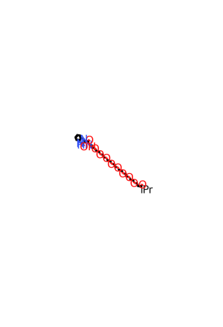 CC(C)C(=O)CCOCCOCCOCCOCCOCCOCCOCCOCCNC(=O)c1nc2ccccc2nc1O